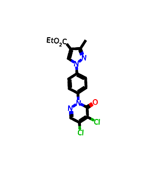 CCOC(=O)c1cn(-c2ccc(-n3ncc(Cl)c(Cl)c3=O)cc2)nc1C